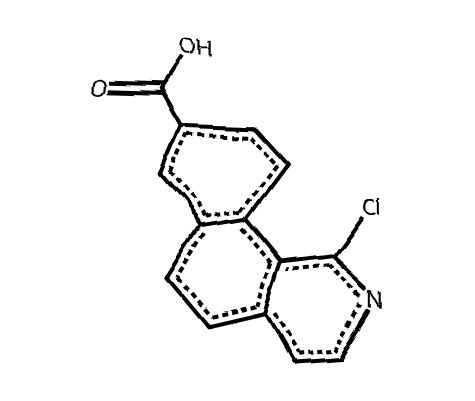 O=C(O)c1ccc2c(ccc3ccnc(Cl)c32)c1